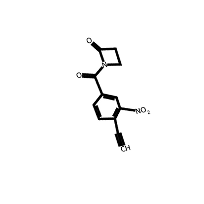 C#Cc1ccc(C(=O)N2CCC2=O)cc1[N+](=O)[O-]